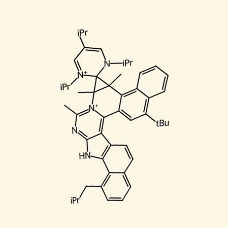 Cc1nc2[nH]c3c(ccc4cccc(CC(C)C)c43)c2c2[n+]1C1(C)C(C)(c3c-2cc(C(C)(C)C)c2ccccc32)C12N(C(C)C)C=C(C(C)C)C=[N+]2C(C)C